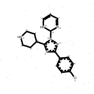 Clc1ccc(-c2nc(C3CCNCC3)n(C3N=CC=CN3)n2)cc1